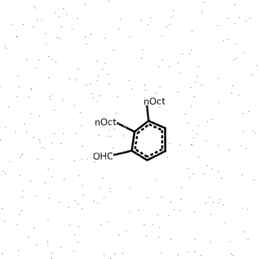 CCCCCCCCc1cccc(C=O)c1CCCCCCCC